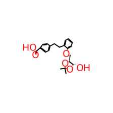 CC1(C)O[C@@H](CO)[C@H](COc2ccccc2CCc2ccc(C(=O)O)cc2)O1